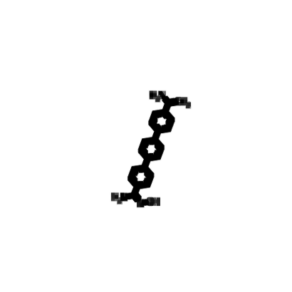 C=C(N)c1ccc(-c2ccc(-c3ccc(/C(N)=N\O)cc3)cc2)cc1